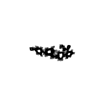 CC(C)OC(=O)c1cccnc1N1CCN(Cc2cccc(-c3ccc(Cl)cc3)c2)CC1